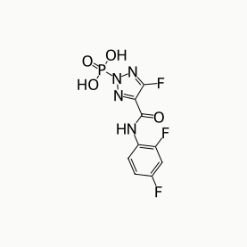 O=C(Nc1ccc(F)cc1F)c1nn(P(=O)(O)O)nc1F